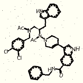 CC(=O)N(Cc1ccc(Cl)c(Cl)c1)C[C@@H](Cc1c[nH]c2ccccc12)N(C(C)=O)N1CC=C(c2c[nH]c3ccc(C(=O)NCc4ccccc4)cc23)CC1